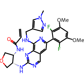 C=CC(=O)N[C@H]1COC[C@H]1Nc1ncc2cc(-c3c(F)c(OC)cc(OC)c3F)nc(NCc3cnn(C)c3)c2n1